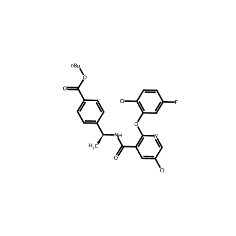 CCCCOC(=O)c1ccc([C@H](C)NC(=O)c2cc(Cl)cnc2Oc2cc(F)ccc2Cl)cc1